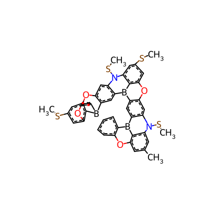 CSc1cc2c3c(c1)Oc1cc4c(cc1B3c1ccccc1O2)B1c2cc3c(cc2Oc2cc(SC)cc(c21)N4SC)N(SC)c1cc(C)cc2c1B3c1ccccc1O2